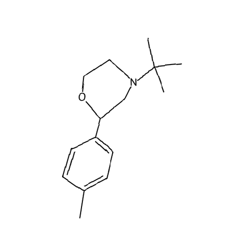 Cc1ccc(C2CN(C(C)(C)C)CCO2)cc1